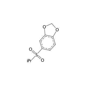 CC(C)S(=O)(=O)c1ccc2c(c1)OCO2